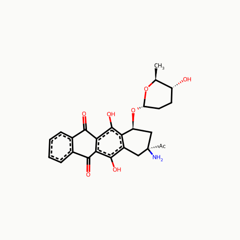 CC(=O)[C@]1(N)Cc2c(O)c3c(c(O)c2[C@@H](O[C@H]2CC[C@@H](O)[C@H](C)O2)C1)C(=O)c1ccccc1C3=O